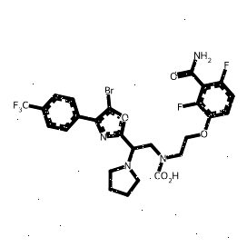 NC(=O)c1c(F)ccc(OCCN(CC(c2nc(-c3ccc(C(F)(F)F)cc3)c(Br)o2)N2CCCC2)C(=O)O)c1F